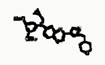 COc1cc(OC)cc(N(CC2CC2)c2ccc3ncc(-c4cnn(CC5CCOCC5)c4)nc3c2)c1